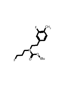 Cc1ccc(CCN(CCCF)C(=O)OC(C)(C)C)cc1F